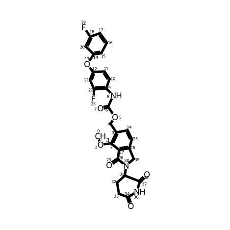 COc1c(COC(=O)Nc2ccc(Oc3cccc(F)c3)cc2F)ccc2c1C(=O)N(C1CCC(=O)NC1=O)C2